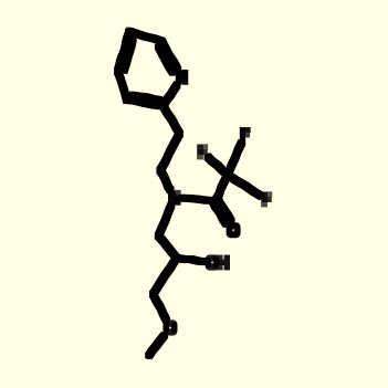 COCC(O)CN(CCc1ccccn1)C(=O)C(F)(F)F